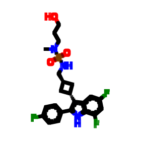 CN(CCCO)S(=O)(=O)NC[C@H]1C[C@H](c2c(-c3ccc(F)cc3)[nH]c3c(F)cc(F)cc32)C1